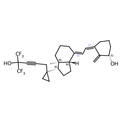 C=C1/C(=C\C=C2/CCC[C@]3(C)[C@@H](C4(CC#CC(O)(C(F)(F)F)C(F)(F)F)CC4)CC[C@@H]23)CCC[C@@H]1O